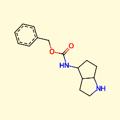 O=C(NC1CCC2NCCC21)OCc1ccccc1